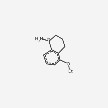 CCOc1cccc2c1CCC[C@@H]2N